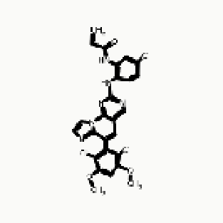 C=CC(=O)Nc1cc(Cl)ccc1Nc1ncc2cc(-c3c(Cl)c(OC)cc(OC)c3Cl)c3nccn3c2n1